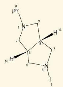 CC(C)N1C[C@H]2CN(I)C[C@H]2C1